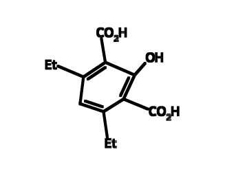 CCc1cc(CC)c(C(=O)O)c(O)c1C(=O)O